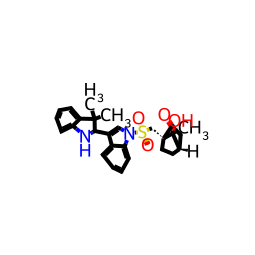 CC1(C)c2ccccc2NC1c1cn(S(=O)(=O)C[C@]23CC[C@@H](CC2=O)C3(C)O)c2ccccc12